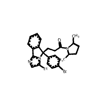 CCc1cnc2n1C(CCC(=O)N1C(C)CCC1C)(c1ccc(Br)cc1)c1ccccc1-2